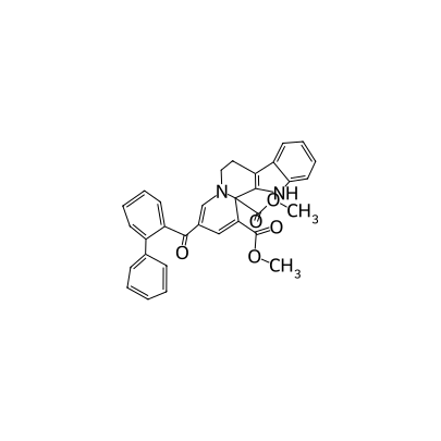 COC(=O)C1=CC(C(=O)c2ccccc2-c2ccccc2)=CN2CCc3c([nH]c4ccccc34)C12C(=O)OC